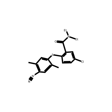 CCN(CC)C(=O)c1cc(Cl)ccc1Sc1cc(C)c([N+]#N)cc1C